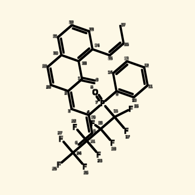 C=c1/c(=C\C(=C/C)P(=O)(c2ccccc2)C(F)(F)C(F)(F)C(F)(F)C(F)(F)F)ccc2cccc(/C=C\C)c12